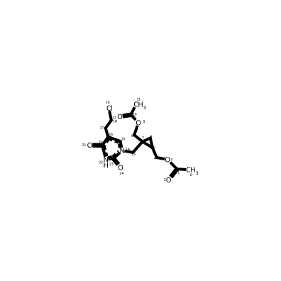 CC(=O)OCC1CC1(COC(C)=O)Cn1cc(CCCl)c(=O)[nH]c1=O